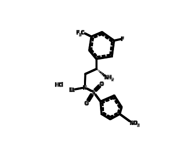 CCN(C[C@@H](N)c1cc(F)cc(C(F)(F)F)c1)S(=O)(=O)c1ccc([N+](=O)[O-])cc1.Cl